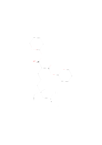 CC[Si](C)(CCCC(C(=O)OC1CCCCO1)C(=O)OC1CCCCO1)C[SiH](C)C